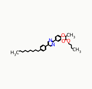 CCCCCCCCCc1ccc(-c2cnc(-c3ccc(OC(C)C(=O)OCCCC)cc3)nc2)cc1